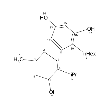 CC1CCC(C(C)C)C(O)C1.CCCCCCc1ccc(O)cc1O